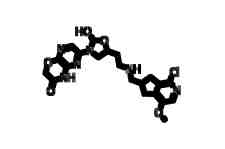 COc1cnc(Cl)c2c1CC(CNCCC1CN(c3cnc4c(n3)NC(=O)CO4)C(O)O1)C2